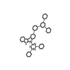 c1ccc(-c2cc(-c3ccccc3)cc(-c3cccc(-c4ccc5c(c4)c4c6ccccc6sc4n5-c4nc(-c5ccccc5)nc(-c5ccccc5)n4)c3)c2)cc1